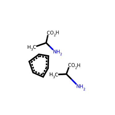 CC(N)C(=O)O.CC(N)C(=O)O.c1ccccc1